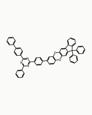 c1ccc(-c2ccc(-c3nc(-c4ccccc4)nc(-c4ccc(-c5ccc6c(c5)Oc5cc7c(cc5O6)C(c5ccccc5)(c5ccccc5)c5ccccc5-7)cc4)n3)cc2)cc1